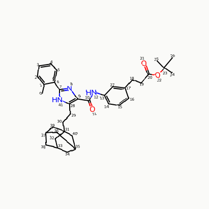 Cc1ccccc1-c1nc(C(=O)Nc2cccc(CCC(=O)OC(C)(C)C)c2)c(CCC23CC4CC(CC(C4)C2)C3)[nH]1